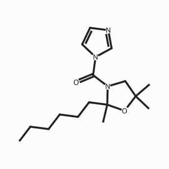 CCCCCCC1(C)OC(C)(C)CN1C(=O)n1ccnc1